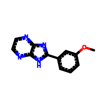 COc1cccc(-c2nc3nccnc3[nH]2)c1